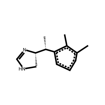 Cc1cccc([C@@H](C)[C@@H]2CNC=N2)c1C